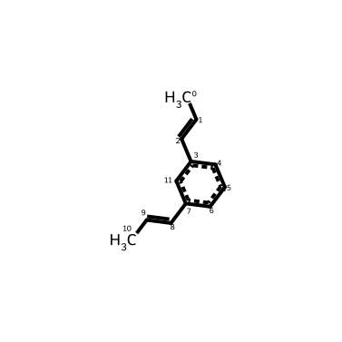 CC=Cc1c[c]cc(C=CC)c1